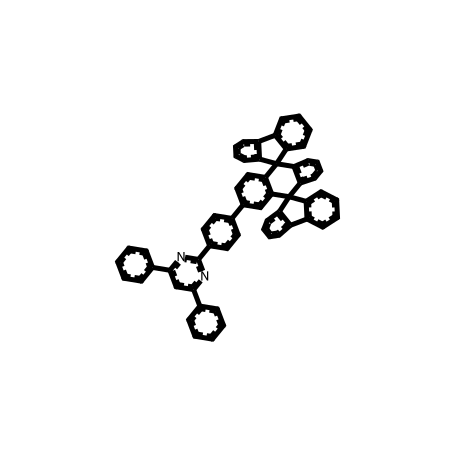 c1ccc(-c2cc(-c3ccccc3)nc(-c3ccc(-c4ccc5c(c4)C4(c6ccccc6-c6ccccc64)c4ccccc4C54c5ccccc5-c5ccccc54)cc3)n2)cc1